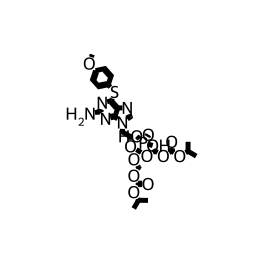 COc1ccc(Sc2nc(N)nc3c2ncn3CCOC(OCOC(=O)OC(C)C)(OCOC(=O)OC(C)C)P(=O)(O)O)cc1